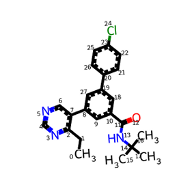 CCc1ncncc1-c1cc(C(=O)NC(C)(C)C)cc(-c2ccc(Cl)cc2)c1